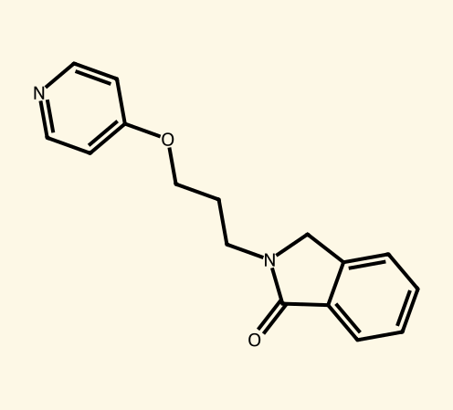 O=C1c2ccccc2CN1CCCOc1ccncc1